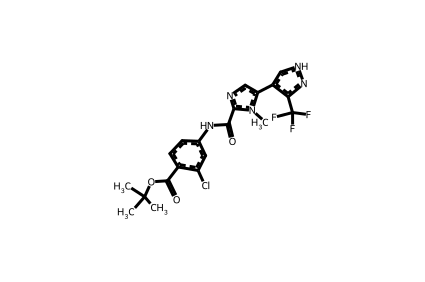 Cn1c(-c2c[nH]nc2C(F)(F)F)cnc1C(=O)Nc1ccc(C(=O)OC(C)(C)C)c(Cl)c1